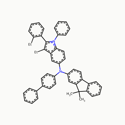 CCc1ccccc1-c1c(CC)c2cc(N(c3ccc(-c4ccccc4)cc3)c3ccc4c(c3)C(C)(C)c3ccccc3-4)ccc2n1-c1ccccc1